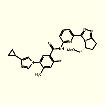 COC[C@H]1CCc2nnc(-c3cccc(NC(=O)c4cc(-n5cnc(C6CC6)c5)c(C)cc4F)n3)n21